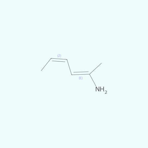 C/C=C\C=C(/C)N